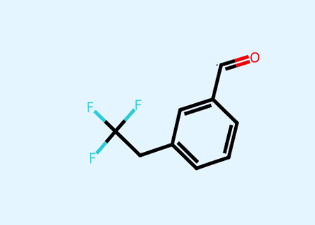 O=[C]c1cccc(CC(F)(F)F)c1